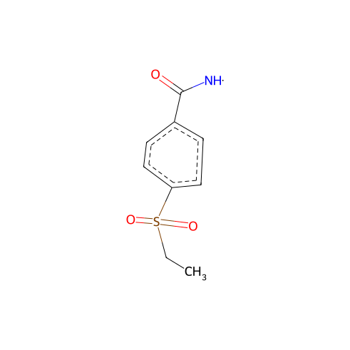 CCS(=O)(=O)c1ccc(C([NH])=O)cc1